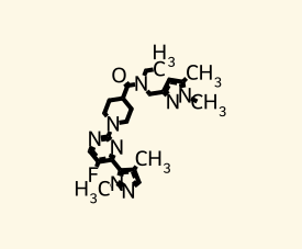 CCN(Cc1cc(C)n(C)n1)C(=O)C1CCN(c2ncc(F)c(-c3c(C)cnn3C)n2)CC1